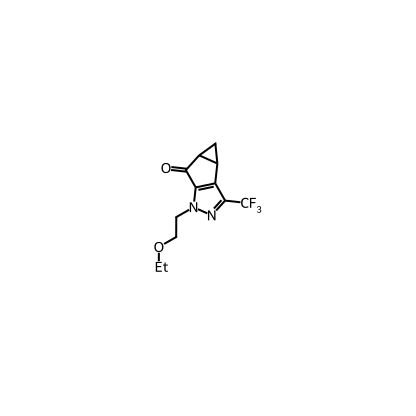 CCOCCn1nc(C(F)(F)F)c2c1C(=O)C1CC21